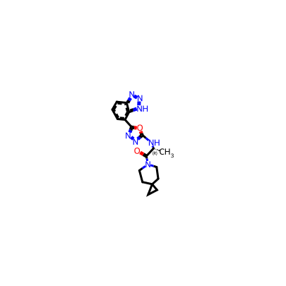 C[C@@H](Nc1nnc(-c2cccc3nn[nH]c23)o1)C(=O)N1CCC2(CC1)CC2